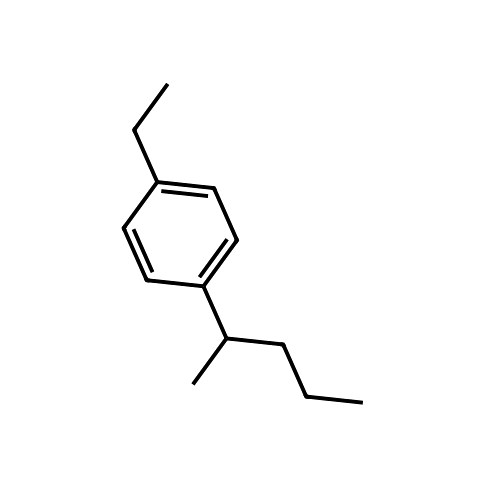 CCCC(C)c1ccc(CC)cc1